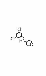 Clc1cc(Cl)cc(CNC2CCOCC2)c1